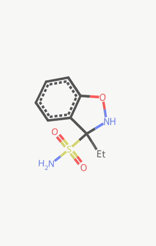 CCC1(S(N)(=O)=O)NOc2ccccc21